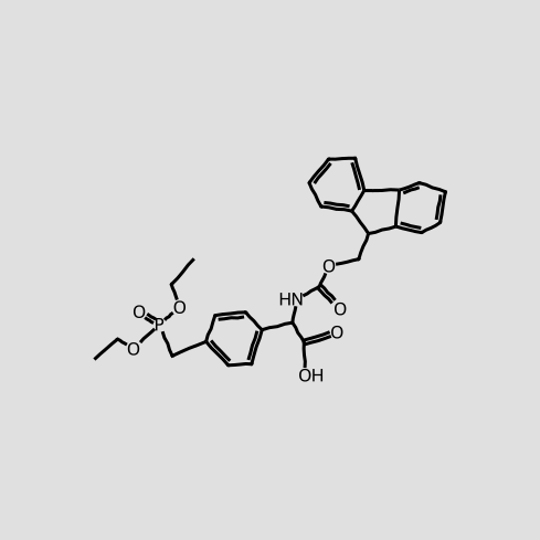 CCOP(=O)(Cc1ccc(C(NC(=O)OCC2c3ccccc3-c3ccccc32)C(=O)O)cc1)OCC